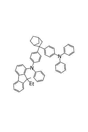 CCC1(C)c2ccccc2-c2cccc(N(c3ccccc3)c3ccc(C4(c5ccc(N(c6ccccc6)c6ccccc6)cc5)CC5CCC4C5)cc3)c21